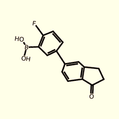 O=C1CCc2cc(-c3ccc(F)c(B(O)O)c3)ccc21